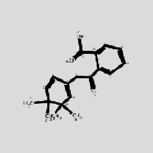 CC1(C)C=CC(CC(=O)c2ccccc2C(=O)O)=CC1(C)C